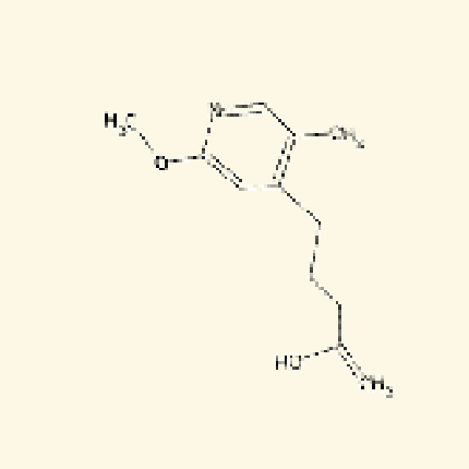 C=C(O)CCCc1cc(OC)ncc1C